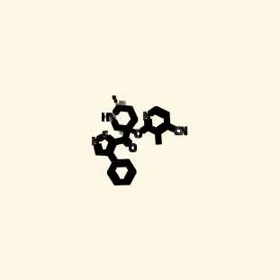 Cc1c(C#N)ccnc1O[C@]1(C(=O)c2sncc2-c2ccccc2)CC[C@@H](C)NC1